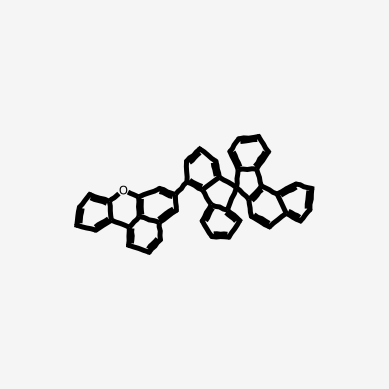 c1ccc2c(c1)Oc1cc(-c3cccc4c3-c3ccccc3C43c4ccccc4-c4c3ccc3ccccc43)cc3cccc-2c13